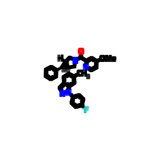 COc1ccnc(C(=O)N2C[C@@H]3[C@@H](c4ccccc4)[C@]3(c3cc4cnn(-c5ccc(F)cc5)c4cc3C)C2)c1